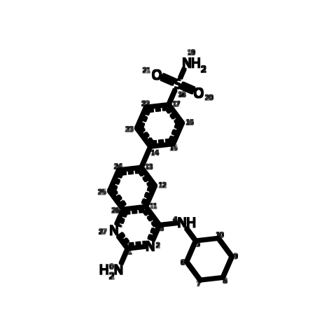 Nc1nc(NC2CCCCC2)c2cc(-c3ccc(S(N)(=O)=O)cc3)ccc2n1